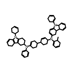 CC1CC=CC=C1N(C1=CC=C2C(C1)C1C=CC=CC1N2C1=CC=CCC1)C1C=CC(C2CC=C(N(c3ccccc3)C3CCc4c(c5c(n4C4CC=CCC4)C=CCC5)C3)CC2)CC1